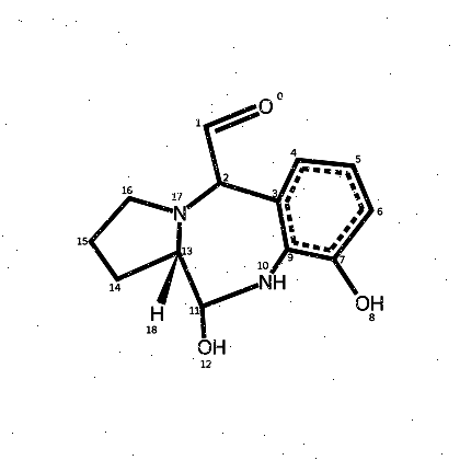 O=CC1c2cccc(O)c2NC(O)[C@@H]2CCCN12